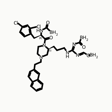 BOC=NC(=NC(B)=O)NCCC[C@H]1CN(CCc2ccc3ccccc3c2)CCN1C(=O)[C@@H](Cc1ccc(Cl)cc1Cl)NC(B)=O